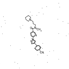 CN(CCCN1CCCCC1)C(=O)c1ccc(-n2cc(-c3ccc(C#N)cc3)cn2)nc1